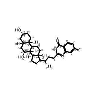 C[C@H](CCc1nc2cc(Cl)ccc2c(=O)[nH]1)[C@H]1CC[C@H]2[C@H]3C(CC[C@]12C)[C@@]1(C)CC[C@@H](O)C[C@H]1C[C@@H]3O